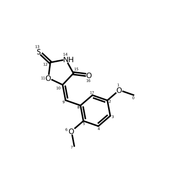 COc1ccc(OC)c(C=C2OC(=S)NC2=O)c1